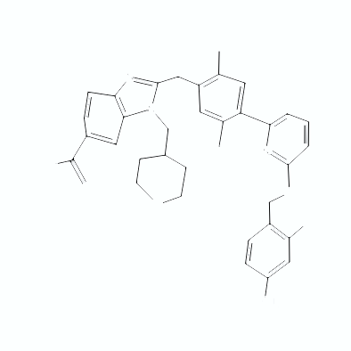 Cc1ccc(COc2cccc(-c3cc(F)c(Cc4nc5ccc(C(=O)O)cc5n4CC4CCOCC4)cc3F)n2)c(F)c1